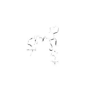 O=C(Nc1cccc(C(F)(F)F)n1)Nc1cc(S(=O)(=O)NCC(F)(F)F)ccc1C1=CCOCC1